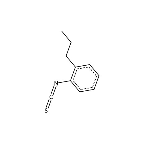 CCCc1ccccc1N=C=S